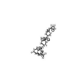 Cc1ccc2c(NCc3ccc(NC(=O)C4CCN(Cc5ccco5)CC4)cc3)nc(N(C)C)nc2c1